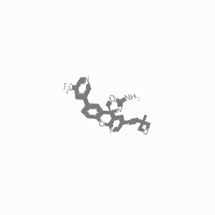 CC1(C#Cc2cnc3c(c2)[C@]2(COC(N)=N2)c2cc(-c4cncc(C(F)(F)F)c4)ccc2O3)COC1